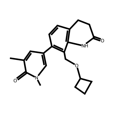 Cc1cc(-c2ccc3c(c2COC2CCC2)NC(=O)CC3)cn(C)c1=O